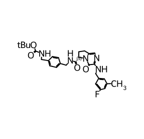 Cc1cc(F)cc(CNc2ncc3n(c2=O)[C@H](C(=O)NCc2ccc(CNC(=O)OC(C)(C)C)cc2)CC3)c1